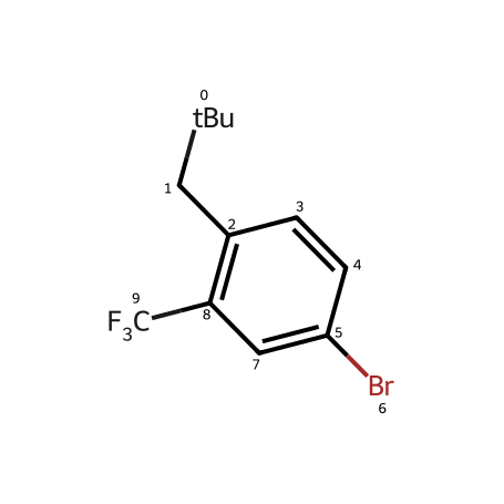 CC(C)(C)Cc1ccc(Br)cc1C(F)(F)F